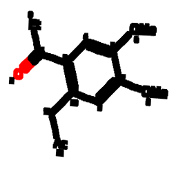 CCC(=O)c1cc(OC)c(OC)cc1CC(C)=O